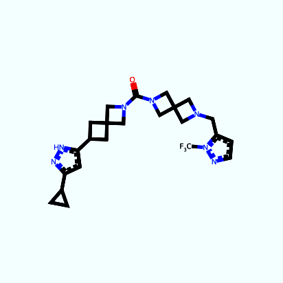 O=C(N1CC2(CC(c3cc(C4CC4)n[nH]3)C2)C1)N1CC2(CN(Cc3ccnn3C(F)(F)F)C2)C1